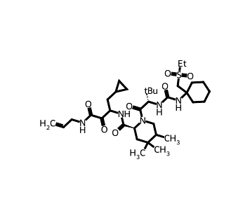 C=CCNC(=O)C(=O)C(CC1CC1)NC(=O)[C@@H]1CC(C)(C)C(C)CN1C(=O)[C@@H](NC(=O)NC1(CS(=O)(=O)CC)CCCCC1)C(C)(C)C